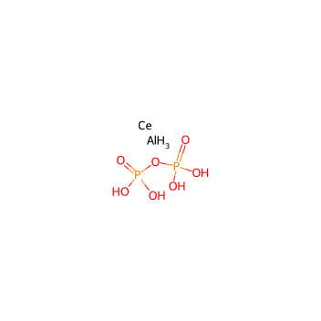 O=P(O)(O)OP(=O)(O)O.[AlH3].[Ce]